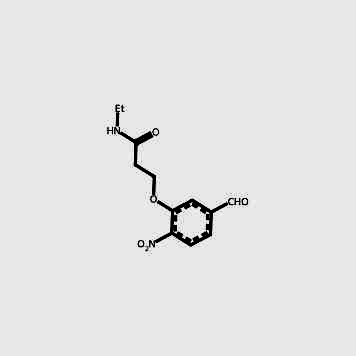 CCNC(=O)CCOc1cc(C=O)ccc1[N+](=O)[O-]